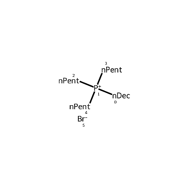 CCCCCCCCCC[P+](CCCCC)(CCCCC)CCCCC.[Br-]